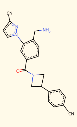 N#Cc1ccc(C2CN(C(=O)c3ccc(CN)c(-n4ccc(C#N)n4)c3)C2)cc1